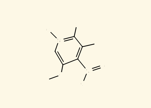 COc1c[n+]([O-])c(Cl)c(C)c1[N+](=O)[O-]